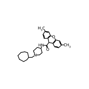 Cc1ccc2c(c1)Oc1cc(C)ccc1C2C(=O)NC1CCN(CC2CCCCCCC2)CC1